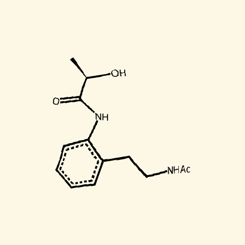 CC(=O)NCCc1ccccc1NC(=O)[C@@H](C)O